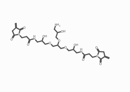 C=C1CC(=O)N(CCC(=O)NCC(O)COCC(COCC(O)CNC(=O)CCN2C(=O)CC(=C)C2=O)OCC(O)CN)C1=O